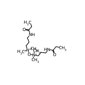 CCC(=O)NCCC[N+](C)(C)O[N+](C)(C)CCCNC(=O)CC